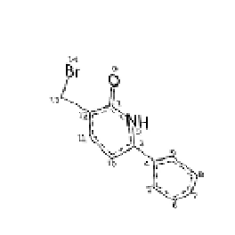 O=c1[nH]c(-c2ccccc2)ccc1CBr